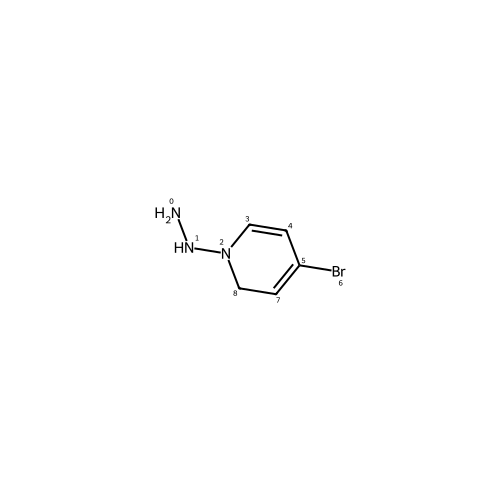 NNN1C=CC(Br)=CC1